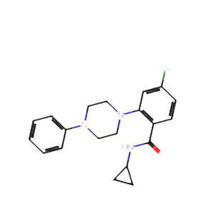 O=C(NC1CC1)c1ccc(Br)cc1N1CCN(c2ccccc2)CC1